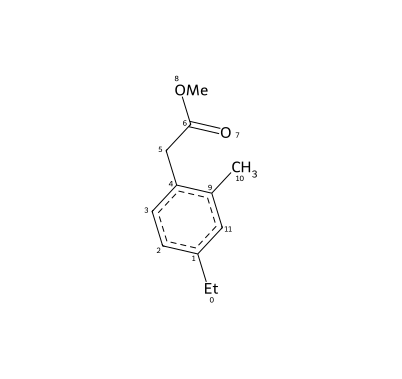 CCc1ccc(CC(=O)OC)c(C)c1